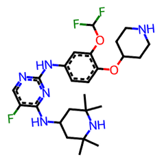 CC1(C)CC(Nc2nc(Nc3ccc(OC4CCNCC4)c(OC(F)F)c3)ncc2F)CC(C)(C)N1